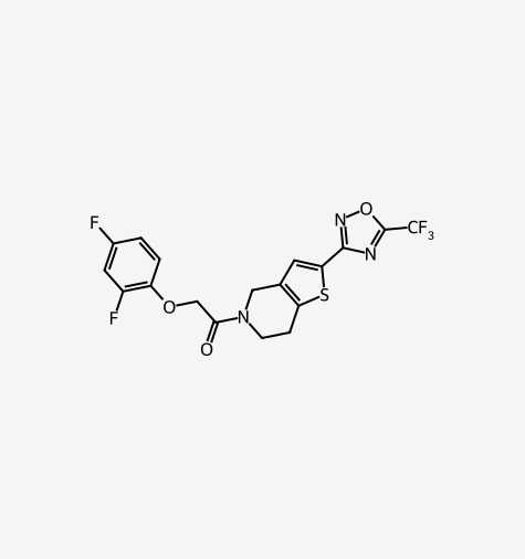 O=C(COc1ccc(F)cc1F)N1CCc2sc(-c3noc(C(F)(F)F)n3)cc2C1